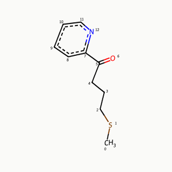 CSCCCC(=O)c1ccccn1